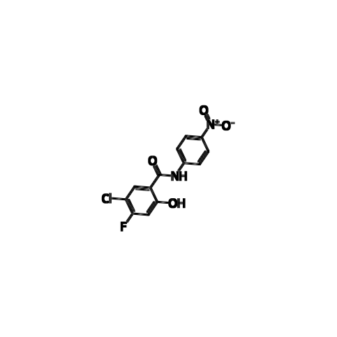 O=C(Nc1ccc([N+](=O)[O-])cc1)c1cc(Cl)c(F)cc1O